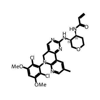 C=CC(=O)N[C@H]1CCOC[C@H]1Nc1ncc2c(n1)-c1cc(C)cnc1N(c1c(Cl)c(OC)cc(OC)c1Cl)C2